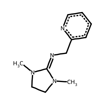 CN1CCN(C)C1=NCc1ccccn1